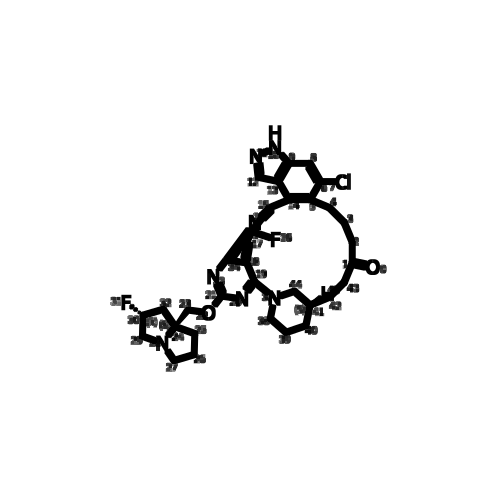 O=C1CCCc2c(Cl)cc3[nH]ncc3c2-c2ncc3c(nc(OC[C@@]45CCCN4C[C@H](F)C5)nc3c2F)N2CCC[C@@H](CC1)C2